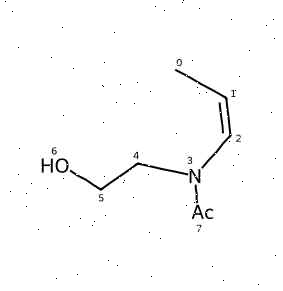 C/C=C\N(CCO)C(C)=O